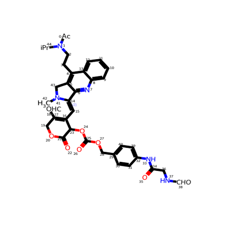 CC(=O)N(CCc1c2c(nc3ccccc13)/C(=C/C1=C(C=O)COC(=O)C1OC(=O)OCc1ccc(NC(=O)CNC=O)cc1)N(C)C2)C(C)C